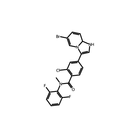 CN(C(=O)c1ccc(C2=CNC3C=CC(Br)=CN23)cc1Cl)c1c(F)cccc1F